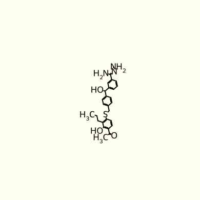 CCCc1c(SCc2ccc(C(O)c3cccc(/C(N)=N/N)c3)cc2)ccc(C(C)=O)c1O